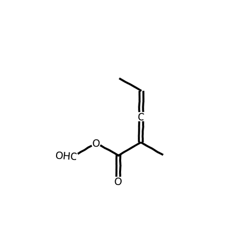 CC=C=C(C)C(=O)OC=O